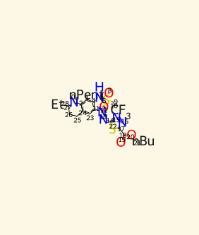 CCCCCN1c2cc(NS(=O)(=O)CC(F)(F)F)c(N=Nc3nnc(C(=O)OCCCC)s3)cc2CCC1CC